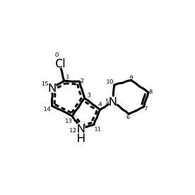 Clc1cc2c(N3CC=CCC3)c[nH]c2cn1